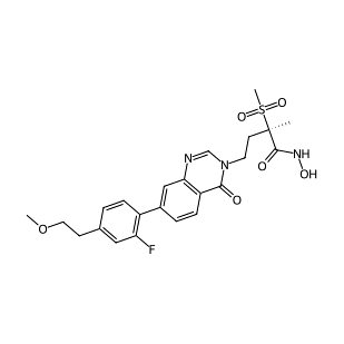 COCCc1ccc(-c2ccc3c(=O)n(CC[C@](C)(C(=O)NO)S(C)(=O)=O)cnc3c2)c(F)c1